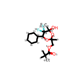 CCC(C)(C)C(=O)OCC1(C)OC(C2CCCCC2)C(F)(F)C(O)(C(F)(F)F)O1